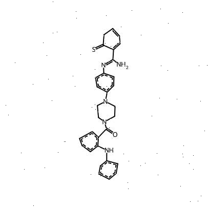 NC(=Nc1ccc(N2CCN(C(=O)c3ccccc3Nc3ccccc3)CC2)cc1)C1=CC=CCC1=S